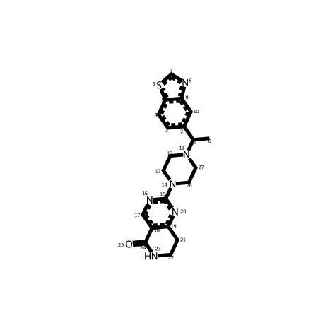 CC(c1ccc2scnc2c1)N1CCN(c2ncc3c(n2)CCNC3=O)CC1